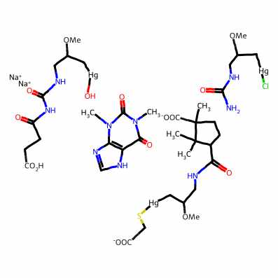 COC(CNC(=O)C1CCC(C)(C(=O)[O-])C1(C)C)[CH2][Hg][S]CC(=O)[O-].COC(CNC(=O)NC(=O)CCC(=O)O)[CH2][Hg][OH].COC(CNC(N)=O)[CH2][Hg][Cl].Cn1c(=O)c2[nH]cnc2n(C)c1=O.[Na+].[Na+]